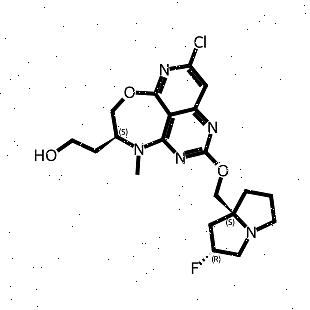 CN1c2nc(OC[C@@]34CCCN3C[C@H](F)C4)nc3cc(Cl)nc(c23)OC[C@@H]1CCO